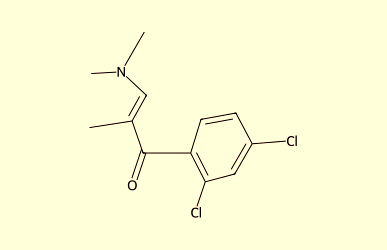 CC(=CN(C)C)C(=O)c1ccc(Cl)cc1Cl